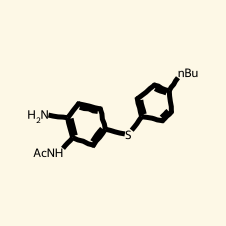 CCCCc1ccc(Sc2ccc(N)c(NC(C)=O)c2)cc1